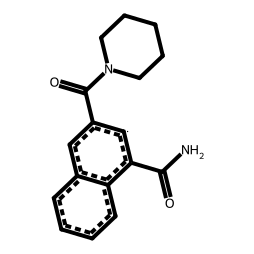 NC(=O)c1[c]c(C(=O)N2CCCCC2)cc2ccccc12